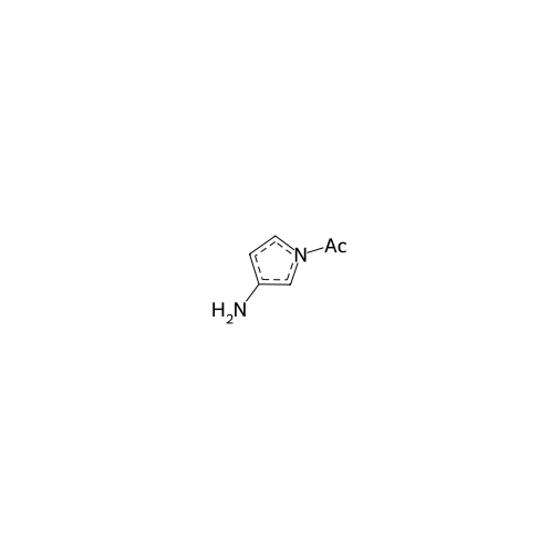 CC(=O)n1ccc(N)c1